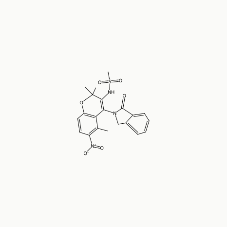 Cc1c([N+](=O)[O-])ccc2c1C(N1Cc3ccccc3C1=O)=C(NS(C)(=O)=O)C(C)(C)O2